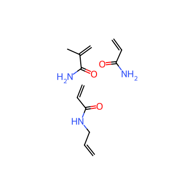 C=C(C)C(N)=O.C=CC(N)=O.C=CCNC(=O)C=C